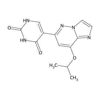 CC(C)Oc1cc(-c2c[nH]c(=O)[nH]c2=O)nn2ccnc12